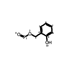 O=POCc1ccccc1O